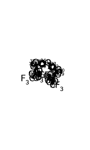 O=S(=O)(N(CCC1(c2ccc(Oc3ccc(C4(CCN(S(=O)(=O)C(F)(F)F)S(=O)(=O)C(F)(F)F)OCCO4)cc3)cc2)OCCO1)S(=O)(=O)C(F)(F)F)C(F)(F)F